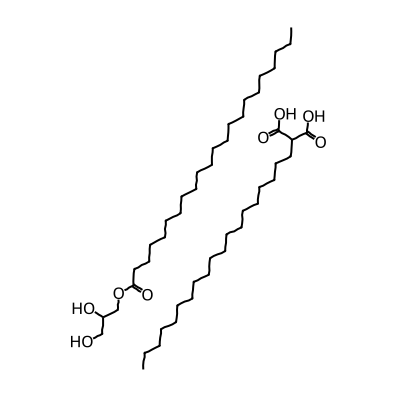 CCCCCCCCCCCCCCCCCCCC(C(=O)O)C(=O)O.CCCCCCCCCCCCCCCCCCCCCC(=O)OCC(O)CO